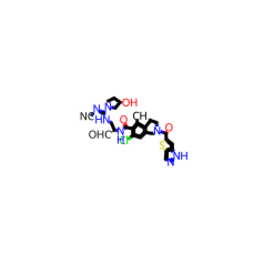 Cc1c2c(cc(Cl)c1C(=O)N[C@H](C=O)CN/C(=N\C#N)N1CC[C@H](O)C1)CN(C(=O)c1cc3[nH]ncc3s1)CC2